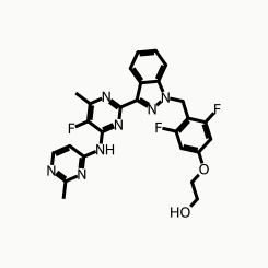 Cc1nccc(Nc2nc(-c3nn(Cc4c(F)cc(OCCO)cc4F)c4ccccc34)nc(C)c2F)n1